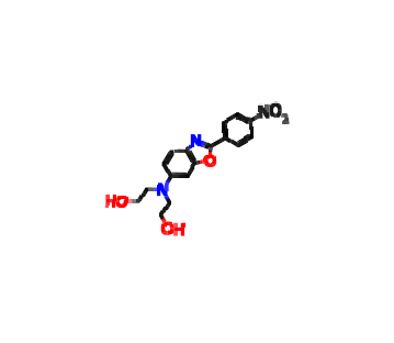 O=[N+]([O-])c1ccc(-c2nc3ccc(N(CCO)CCO)cc3o2)cc1